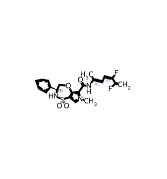 C=C(F)/C(F)=C\C=C(/C)NC(=O)c1c2c(cn1C)S(=O)(=O)N[C@@H](c1ccccc1)CO2